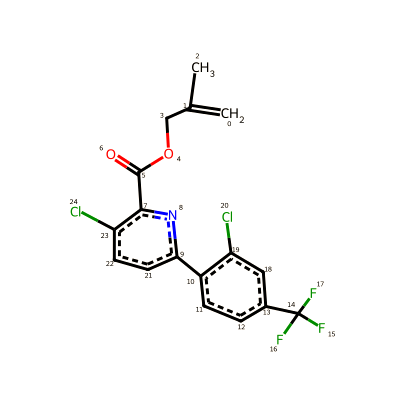 C=C(C)COC(=O)c1nc(-c2ccc(C(F)(F)F)cc2Cl)ccc1Cl